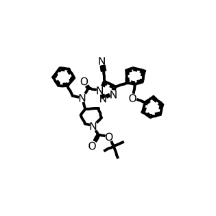 CC(C)(C)OC(=O)N1CCC(N(Cc2ccccc2)C(=O)n2nnc(-c3ccccc3Oc3ccccc3)c2C#N)CC1